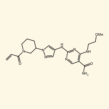 C=CC(=O)N1CCCC(n2cc(Nc3ncc(C(N)=O)c(NCCOC)n3)cn2)C1